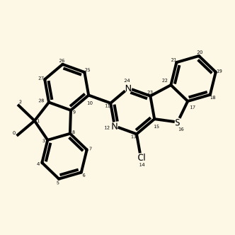 CC1(C)c2ccccc2-c2c(-c3nc(Cl)c4sc5ccccc5c4n3)cccc21